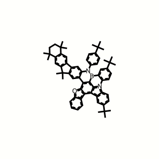 CC(C)(C)c1ccc(N2B3c4cc(C(C)(C)C)ccc4-n4c5ccc(C(C)(C)C)cc5c5c6c(oc7ccccc76)c(c3c54)-c3cc4c(cc32)-c2cc3c(cc2C4(C)C)C(C)(C)CCC3(C)C)cc1